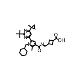 Cc1c(C(=O)/N=C/C2CC(C(=O)O)C2)cc(-c2cc(C3(C)CC3)nc(C(C)(C)C)n2)n1CC1CCCCC1